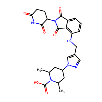 CC1CC(n2cc(CNc3cccc4c3C(=O)N(C3CCC(=O)NC3=O)C4=O)cn2)CC(C)N1C(=O)O